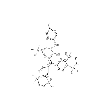 Cc1ccc(Nc2cc(C(C)(C)C)cc(N(c3ccc4c(c3)C(C)(C)CCC4(C)C)c3ccc4c(c3)C(C)(C)CCC4(C)C)c2Cl)cc1